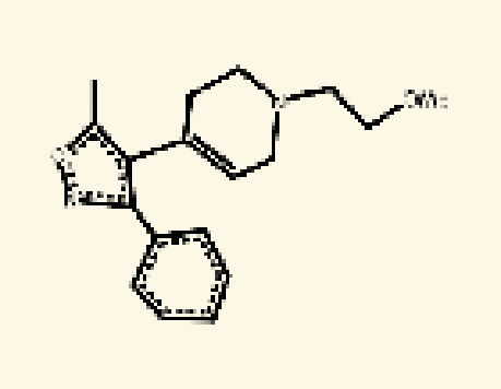 COCCN1CC=C(c2c(-c3ccccc3)noc2C)CC1